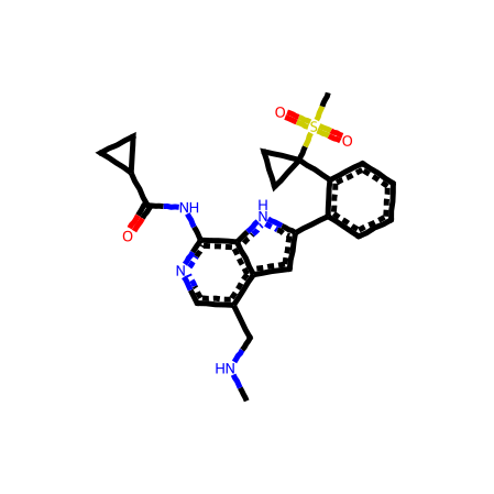 CNCc1cnc(NC(=O)C2CC2)c2[nH]c(-c3ccccc3C3(S(C)(=O)=O)CC3)cc12